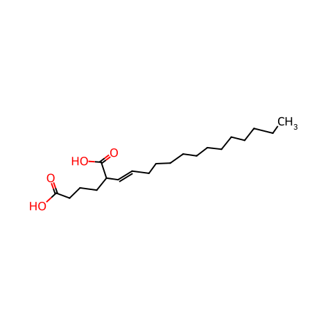 CCCCCCCCCCCCC=CC(CCCC(=O)O)C(=O)O